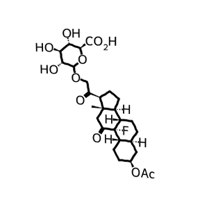 CC(=O)O[C@H]1CC[C@H]2[C@@H](CC[C@H]3[C@@H]4CC[C@H](C(=O)COC5O[C@H](C(=O)O)[C@@H](O)[C@H](O)[C@H]5O)[C@@]4(C)CC(=O)[C@]23F)C1